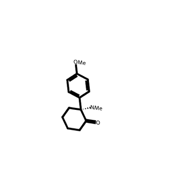 CN[C@@]1(c2ccc(OC)cc2)CCCCC1=O